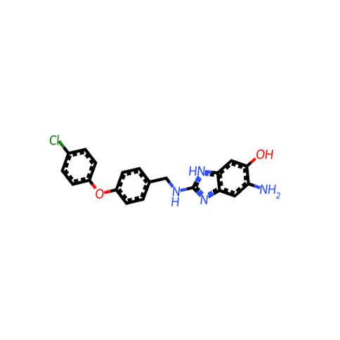 Nc1cc2nc(NCc3ccc(Oc4ccc(Cl)cc4)cc3)[nH]c2cc1O